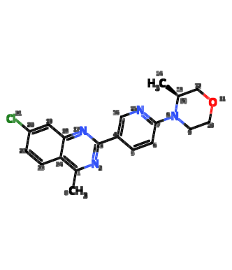 Cc1nc(-c2ccc(N3CCOC[C@@H]3C)nc2)nc2cc(Cl)ccc12